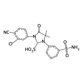 CC1(C)C(=O)N(c2ccc(C#N)c(Cl)c2)C(S(=O)(=O)O)N1c1cccc(S(N)(=O)=O)c1